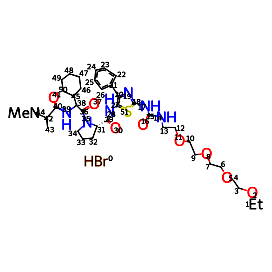 Br.CCOCCOCCOCCOCCNC(=O)Nc1nc(-c2ccccc2)c(NC(=O)[C@@H]2CCCN2C(=O)C(NC(=O)C(C)NC)C2CCCCC2)s1